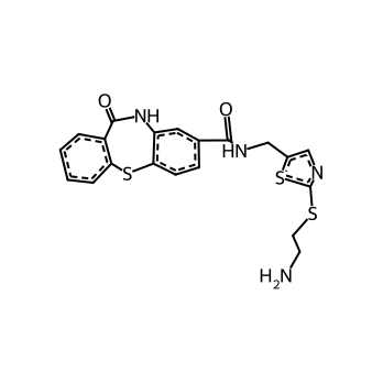 NCCSc1ncc(CNC(=O)c2ccc3c(c2)NC(=O)c2ccccc2S3)s1